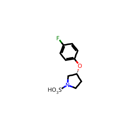 O=S(=O)(O)N1CC[C@@H](Oc2ccc(F)cc2)C1